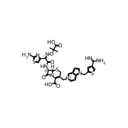 CC(C)(O/N=C(\C(=O)N[C@@H]1C(=O)N2C(C(=O)O)=C(C[n+]3ccc4c(ccn4Cc4cc(C(=N)N)cs4)c3)CS[C@H]12)c1csc(N)n1)C(=O)O